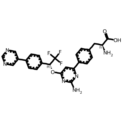 Nc1nc(O[C@H](c2ccc(-c3cncnc3)cc2)C(F)(F)F)cc(-c2ccc(C[C@H](N)C(=O)O)cc2)n1